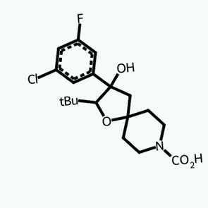 CC(C)(C)C1OC2(CCN(C(=O)O)CC2)CC1(O)c1cc(F)cc(Cl)c1